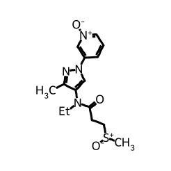 CCN(C(=O)CC[S+](C)[O-])c1cn(-c2ccc[n+]([O-])c2)nc1C